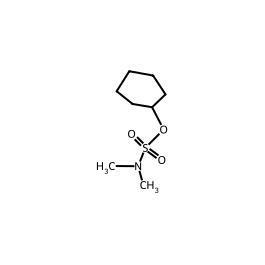 CN(C)S(=O)(=O)OC1CCCCC1